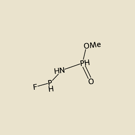 CO[PH](=O)NPF